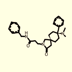 CN(C)[C@]1(c2ccccc2)CC[C@@]2(CC1)CC(=O)N(CCC(=O)NCc1ccccc1)C2